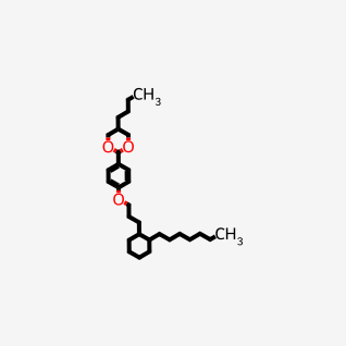 CCCCCCCC1CCCCC1CCCOc1ccc(C2OCC(CCCC)CO2)cc1